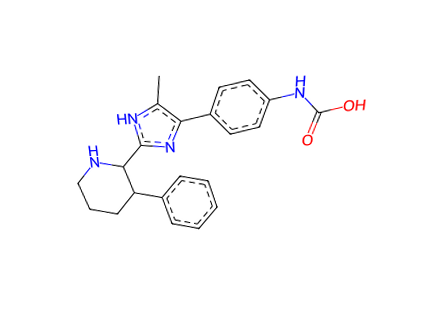 Cc1[nH]c(C2NCCCC2c2ccccc2)nc1-c1ccc(NC(=O)O)cc1